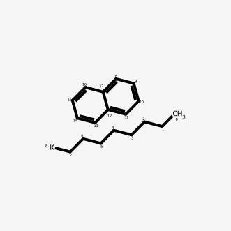 CCCCCCC[CH2][K].c1ccc2ccccc2c1